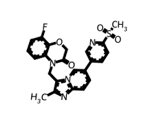 Cc1nc2ccc(-c3ccc(S(C)(=O)=O)nc3)cn2c1CN1C(=O)COc2c(F)cccc21